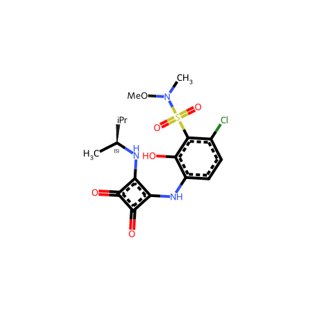 CON(C)S(=O)(=O)c1c(Cl)ccc(Nc2c(N[C@@H](C)C(C)C)c(=O)c2=O)c1O